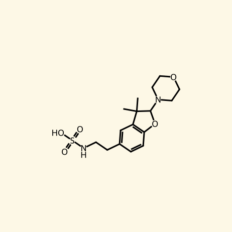 CC1(C)c2cc(CCNS(=O)(=O)O)ccc2OC1N1CCOCC1